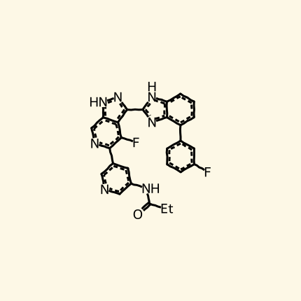 CCC(=O)Nc1cncc(-c2ncc3[nH]nc(-c4nc5c(-c6cccc(F)c6)cccc5[nH]4)c3c2F)c1